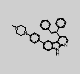 CN1CCN(c2ccc(-c3ccc4[nH]c5nccc(C(=Cc6ccccc6)c6ccccc6)c5c4c3)cc2)CC1